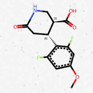 COc1cc(F)c([C@@H]2CC(=O)NC[C@H]2C(=O)O)c(F)c1